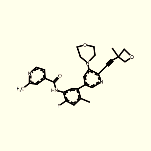 Cc1cc(F)c(NC(=O)c2ccnc(C(F)(F)F)c2)cc1-c1cnc(C#CC2(C)COC2)c(N2CCOCC2)c1